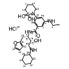 CCNc1cc(C(=O)N[C@@H](Cc2ccco2)[C@H](O)CNC2CCCCC2)cc(N2CCCCS2(O)O)c1.Cl